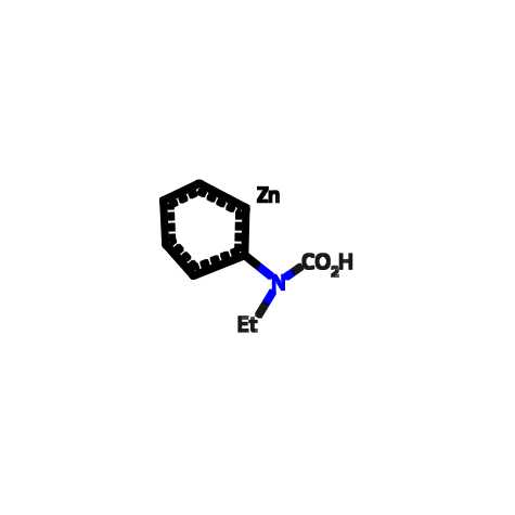 CCN(C(=O)O)c1ccccc1.[Zn]